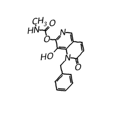 CNC(=O)Oc1ncc2ccc(=O)n(Cc3ccccc3)c2c1O